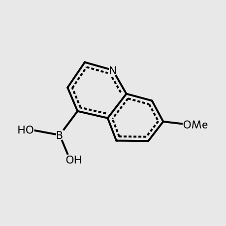 COc1ccc2c(B(O)O)ccnc2c1